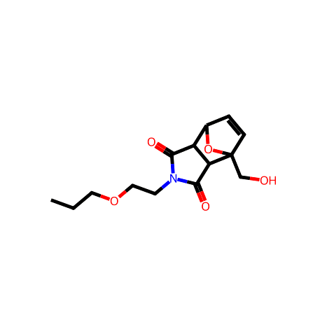 CCCOCCN1C(=O)C2C3C=CC(CO)(O3)C2C1=O